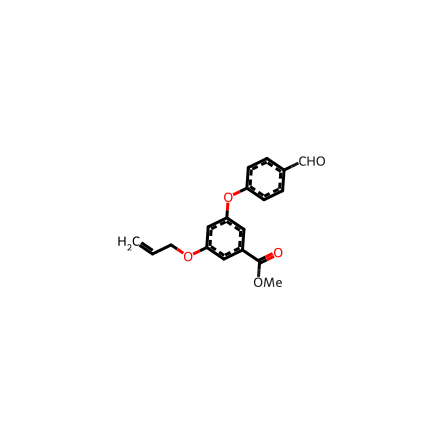 C=CCOc1cc(Oc2ccc(C=O)cc2)cc(C(=O)OC)c1